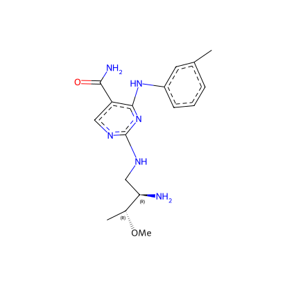 CO[C@H](C)[C@H](N)CNc1ncc(C(N)=O)c(Nc2cccc(C)c2)n1